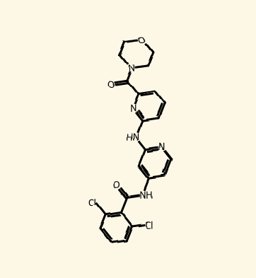 O=C(Nc1ccnc(Nc2cccc(C(=O)N3CCOCC3)n2)c1)c1c(Cl)cccc1Cl